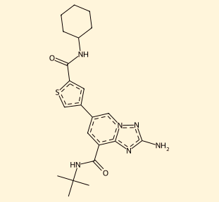 CC(C)(C)NC(=O)c1cc(-c2csc(C(=O)NC3CCCCC3)c2)cn2nc(N)nc12